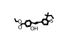 CCOC(=O)c1ccc(C#Cc2ccc3c(c2)C(C)(C)CCS3)c(O)c1